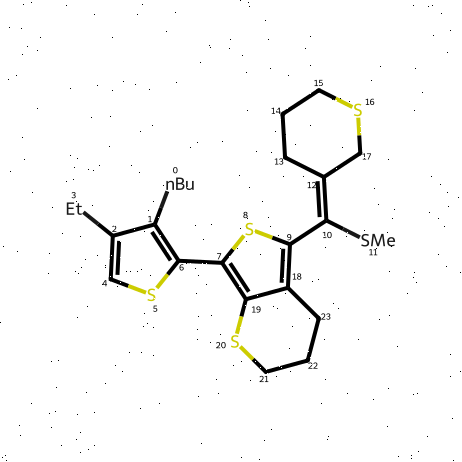 CCCCc1c(CC)csc1-c1sc(/C(SC)=C2\CCCSC2)c2c1SCCC2